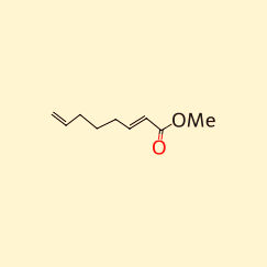 C=CCCCC=CC(=O)OC